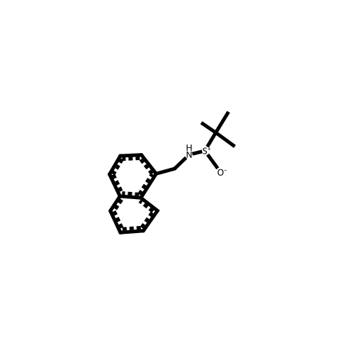 CC(C)(C)[S+]([O-])NCc1cccc2ccccc12